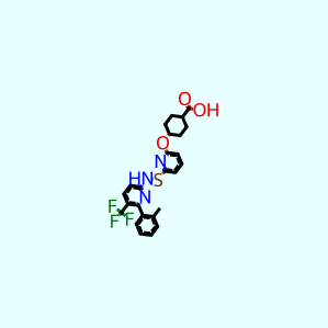 Cc1ccccc1-c1nc(NSc2cccc(OC3CCC(C(=O)O)CC3)n2)ccc1C(F)(F)F